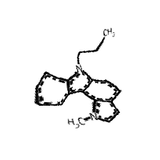 CCCn1c2ccccc2c2c3c(ccc21)ccn3C